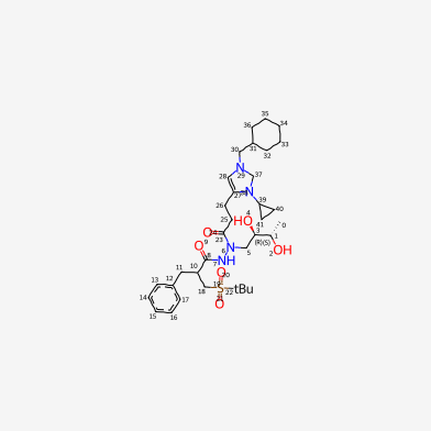 C[C@H](O)[C@H](O)CN(NC(=O)C(Cc1ccccc1)CS(=O)(=O)C(C)(C)C)C(=O)CCC1=CN(CC2CCCCC2)CN1C1CC1